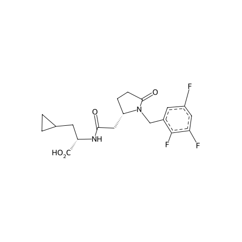 O=C(C[C@@H]1CCC(=O)N1Cc1cc(F)cc(F)c1F)N[C@@H](CC1CC1)C(=O)O